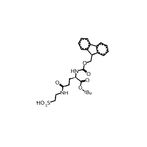 CC(C)(C)OC(=O)[C@@H](CCC(=O)NCCS(=O)(=O)O)NC(=O)OCC1c2ccccc2-c2ccccc21